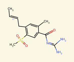 C/C=C/Cc1cc(C)c(C(=O)N=C(N)N)cc1S(C)(=O)=O